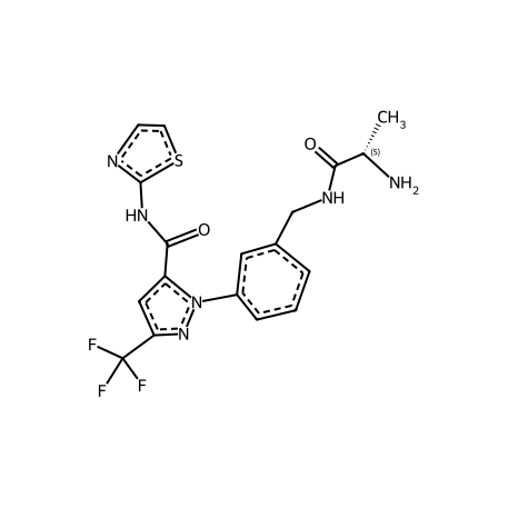 C[C@H](N)C(=O)NCc1cccc(-n2nc(C(F)(F)F)cc2C(=O)Nc2nccs2)c1